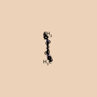 COc1ccc(/C=C/C(=O)OCCCCCCOC(=O)/C=C/c2ccc(OC)cc2)cc1